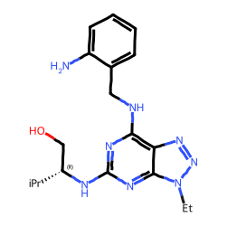 CCn1nnc2c(NCc3ccccc3N)nc(N[C@@H](CO)C(C)C)nc21